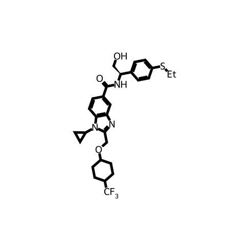 CCSc1ccc([C@H](CO)NC(=O)c2ccc3c(c2)nc(COC2CCC(C(F)(F)F)CC2)n3C2CC2)cc1